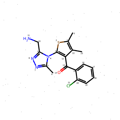 Cc1sc(-n2c(C)nnc2CN)c(C(=O)c2ccccc2Cl)c1C